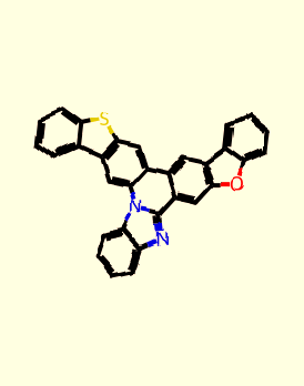 c1ccc2c(c1)nc1c3cc4oc5ccccc5c4cc3c3cc4sc5ccccc5c4cc3n21